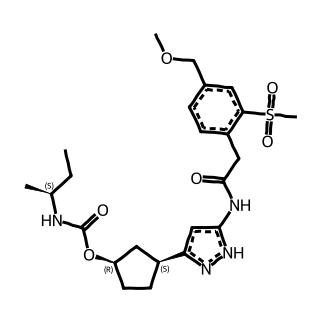 CC[C@H](C)NC(=O)O[C@@H]1CC[C@H](c2cc(NC(=O)Cc3ccc(COC)cc3S(C)(=O)=O)[nH]n2)C1